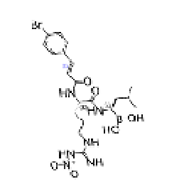 CC(C)C[C@H](NC(=O)[C@H](CCCNC(=N)N[N+](=O)[O-])NC(=O)/C=C/c1ccc(Br)cc1)B(O)O